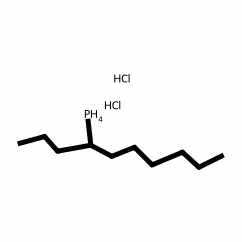 CCCCCCC([PH4])CCC.Cl.Cl